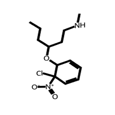 CCCC(CCNC)OC1C=CC=CC1(Cl)[N+](=O)[O-]